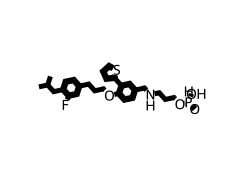 CC(C)Cc1ccc(CCCOc2ccc(CNCCCO[PH](=O)O)cc2-c2cccs2)cc1F